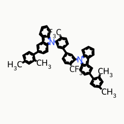 Cc1ccc(-c2ccc3c(c2)c2ccccc2n3-c2cc(-c3ccc(C(F)(F)F)c(-n4c5ccccc5c5cc(-c6ccc(C)cc6C)ccc54)c3)ccc2C(F)(F)F)c(C)c1